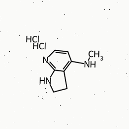 CNc1ccnc2c1CCN2.Cl.Cl